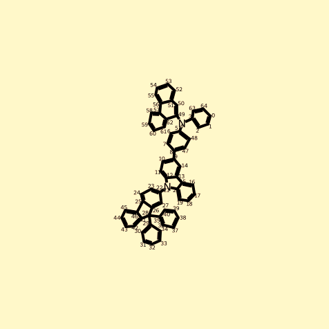 c1ccc(N(c2ccc(-c3ccc4c(c3)c3ccccc3n4-c3ccc4c(c3)C(c3ccccc3)(c3ccccc3)c3ccccc3-4)cc2)c2cc3ccccc3c3ccccc23)cc1